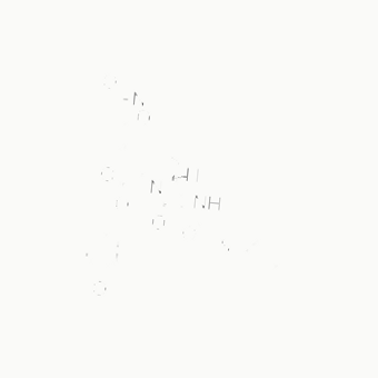 C=C(C1=C(C(=O)OCc2ccc(OC)cc2)N2C(=O)[C@@H](NC(=O)CSc3ccccc3)[C@H]2SC1)c1cc(OC)no1